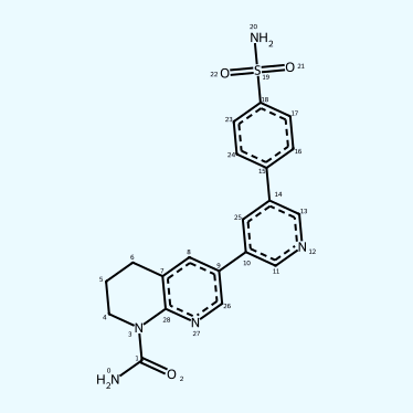 NC(=O)N1CCCc2cc(-c3cncc(-c4ccc(S(N)(=O)=O)cc4)c3)cnc21